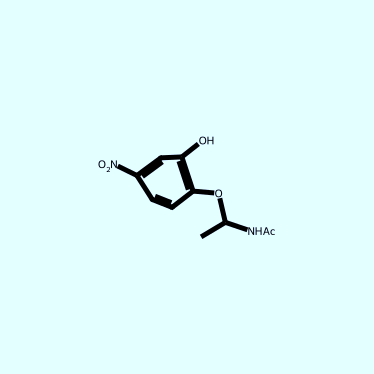 CC(=O)NC(C)Oc1ccc([N+](=O)[O-])cc1O